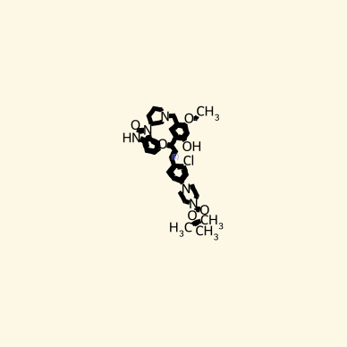 CCOc1cc(O)c(C(=O)/C=C/c2ccc(N3CCN(C(=O)OC(C)(C)C)CC3)cc2Cl)cc1CN1CCCC(n2c(=O)[nH]c3ccccc32)C1